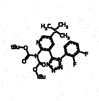 CC(C)(C)OC(=O)N(C(=O)OC(C)(C)C)c1ncc(S(C)(C)C)cc1-c1nnnn1-c1cccc(F)c1F